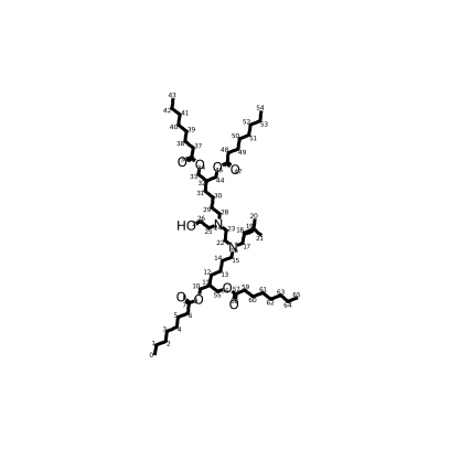 CCCCCCCC(=O)OCC(CCCCN(CC=C(C)C)CCN(CCO)CCCCC(COC(=O)CCCCCCC)COC(=O)CCCCCCC)COC(=O)CCCCCCC